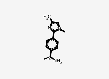 C[C@H](N)c1ccc(-c2nc(C(F)(F)F)cn2C)cc1